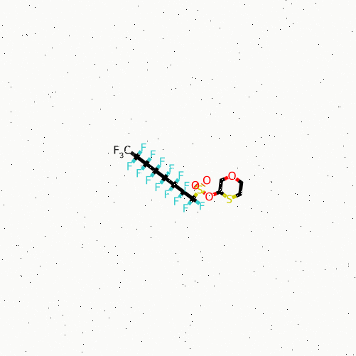 O=S(=O)(OC1COCCS1)C(F)(F)C(F)(F)C(F)(F)C(F)(F)C(F)(F)C(F)(F)C(F)(F)C(F)(F)F